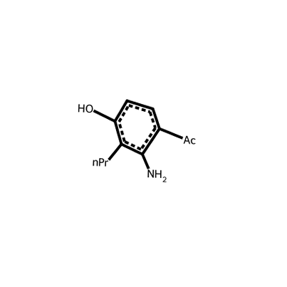 CCCc1c(O)ccc(C(C)=O)c1N